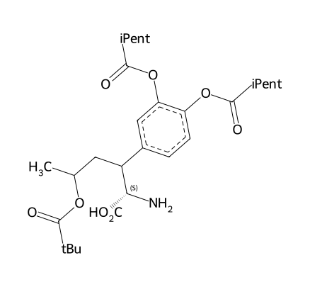 CCCC(C)C(=O)Oc1ccc(C(CC(C)OC(=O)C(C)(C)C)[C@H](N)C(=O)O)cc1OC(=O)C(C)CCC